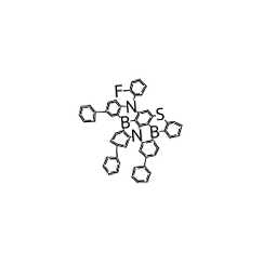 Fc1ccccc1N1c2ccc(-c3ccccc3)cc2B2c3ccc(-c4ccccc4)cc3N3c4cc(-c5ccccc5)ccc4B4c5ccccc5Sc5cc1c2c3c54